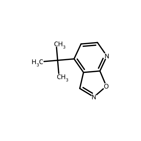 CC(C)(C)c1ccnc2oncc12